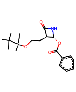 CC(C)(C)[Si](C)(C)OCC[C@H]1C(=O)N[C@@H]1OC(=O)c1ccccc1